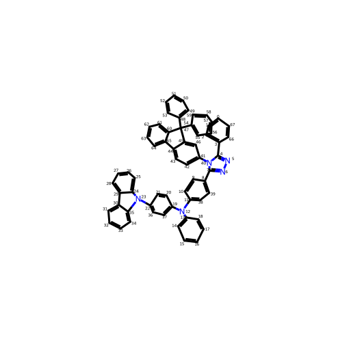 c1ccc(-c2nnc(-c3ccc(N(c4ccccc4)c4ccc(-n5c6ccccc6c6ccccc65)cc4)cc3)n2-c2ccc3c(c2)C(c2ccccc2)(c2ccccc2)c2ccccc2-3)cc1